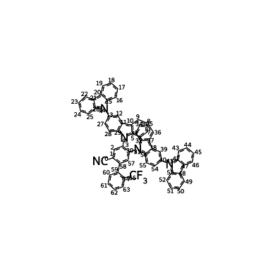 N#Cc1cc(-n2c3ccccc3c3cc(-n4c5ccccc5c5ccccc54)ccc32)c(-n2c3ccccc3c3cc(-n4c5ccccc5c5ccccc54)ccc32)cc1-c1ccccc1C(F)(F)F